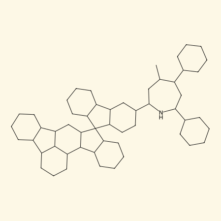 CC1CC(C2CCC3C(C2)C2CCCCC2C32C3CCCCC3C3C4CCCC5C6CCCCC6C(CC32)C54)NC(C2CCCCC2)CC1C1CCCCC1